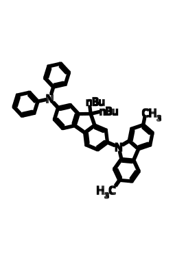 CCCCC1(CCCC)c2cc(N(c3ccccc3)c3ccccc3)ccc2-c2ccc(-n3c4cc(C)ccc4c4ccc(C)cc43)cc21